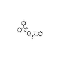 O=C(NCc1ccccn1)c1ccc(NC(=O)C(c2ccccc2)c2ccccc2)cc1